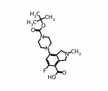 CN1Cc2c(N3CCN(C(=O)OC(C)(C)C)CC3)cc(F)c(C(=O)O)c2C1